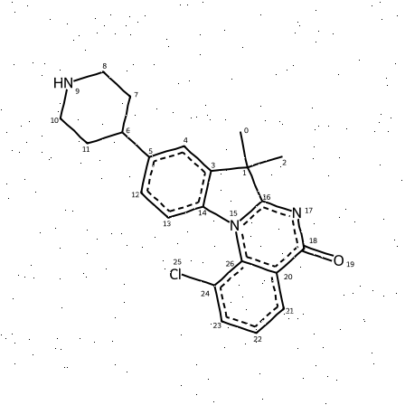 CC1(C)c2cc(C3CCNCC3)ccc2-n2c1nc(=O)c1cccc(Cl)c12